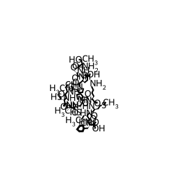 CSCC[C@H](NC(=O)[C@H](CCCCN)NC(=O)[C@@H]1CCCN1C(=O)[C@H](CS)NC(=O)[C@H](C)NC(=O)[C@H](CS)NC(=O)[C@@H](NC(=O)[C@@H]1CCCN1C(=O)[C@H](CCC(=O)O)NC(=O)[C@H](CO)NC(=O)[C@@H](N)[C@@H](C)O)C(C)C)C(=O)N[C@@H](CC(C)C)C(=O)N[C@@H](Cc1ccccc1)C(=O)O